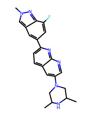 CC1CN(c2cnc3nc(-c4cc(F)c5nn(C)cc5c4)ccc3c2)CC(C)N1